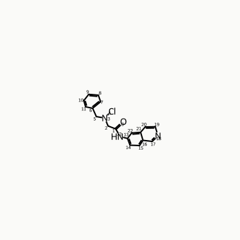 O=C(CN(Cl)Cc1ccccc1)Nc1ccc2cnccc2c1